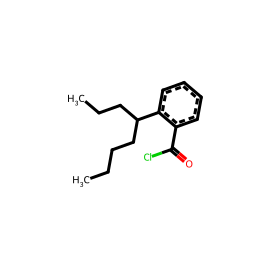 CCCCC(CCC)c1ccccc1C(=O)Cl